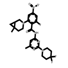 Cc1cc(NC(=O)c2c(F)cc([N+](=O)[O-])cc2N2CCC3(C)CC3C2)nc(N2CCC(F)(F)CC2)n1